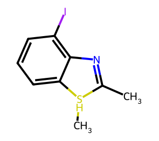 CC1=Nc2c(I)cccc2[SH]1C